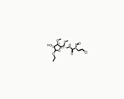 CCOC1O[C@H]([C@@H](CNC(=O)N(CCCl)N=O)OC)[C@H](OC)[C@H]1O